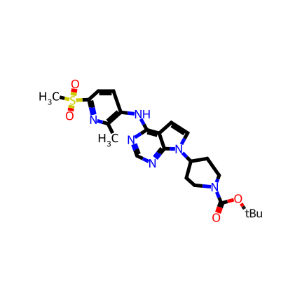 Cc1nc(S(C)(=O)=O)ccc1Nc1ncnc2c1ccn2C1CCN(C(=O)OC(C)(C)C)CC1